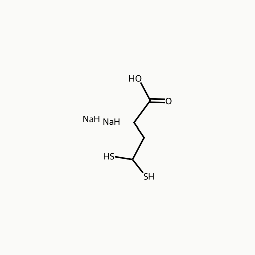 O=C(O)CCC(S)S.[NaH].[NaH]